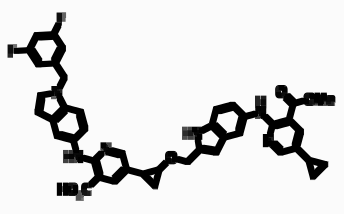 COC(=O)c1cc(C2CC2)cnc1Nc1ccc2[nH]c(COC3CC3c3cnc(Nc4ccc5c(ccn5Cc5cc(F)cc(F)c5)c4)c(C(=O)O)c3)cc2c1